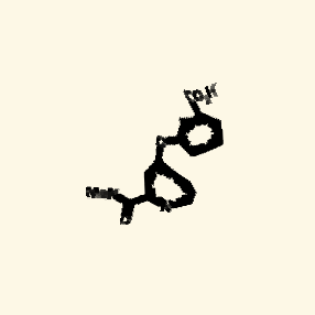 CNC(=O)c1cc(Oc2cccc(C(=O)O)c2)ccn1